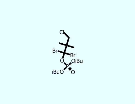 CC(C)COP(=O)(OCC(C)C)OC(Br)(Br)C(C)(C)CCl